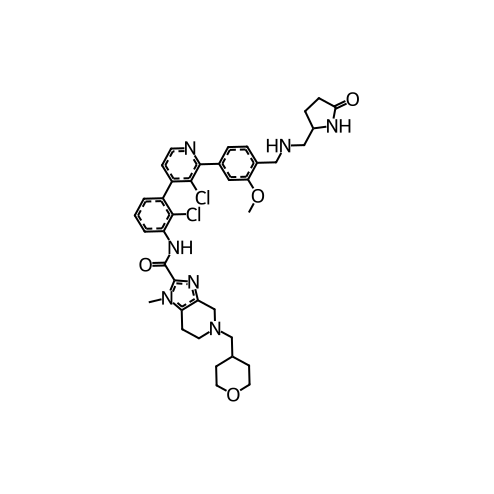 COc1cc(-c2nccc(-c3cccc(NC(=O)c4nc5c(n4C)CCN(CC4CCOCC4)C5)c3Cl)c2Cl)ccc1CNCC1CCC(=O)N1